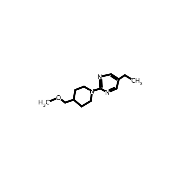 CCc1cnc(N2CCC(COC)CC2)nc1